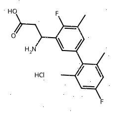 Cc1cc(-c2c(C)cc(F)cc2C)cc(C(N)CC(=O)O)c1F.Cl